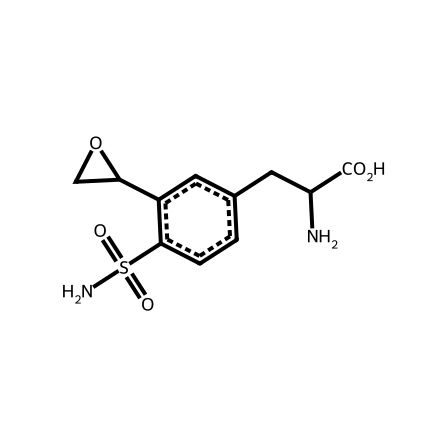 NC(Cc1ccc(S(N)(=O)=O)c(C2CO2)c1)C(=O)O